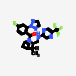 C[C@@H]1C2CC(C2)N(C(=O)c2ccc(F)cc2-n2nccn2)C1CNc1cnc(C(F)(F)F)cn1